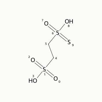 O=S(=O)(O)CCS(=O)(O)=S